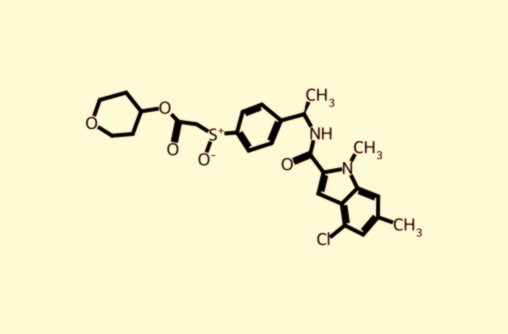 Cc1cc(Cl)c2cc(C(=O)N[C@H](C)c3ccc([S+]([O-])CC(=O)OC4CCOCC4)cc3)n(C)c2c1